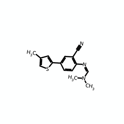 Cc1csc(-c2ccc(/N=C\N(C)C)c(C#N)c2)c1